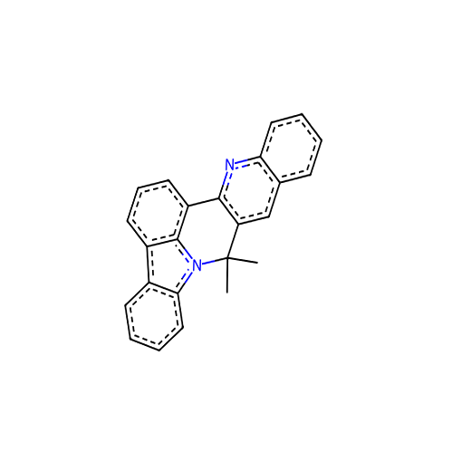 CC1(C)c2cc3ccccc3nc2-c2cccc3c4ccccc4n1c23